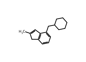 CC1=Cc2c(cccc2CC2CCCCC2)C1